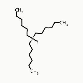 CCCCCC[Si](I)(CCCCCC)CCCCCC